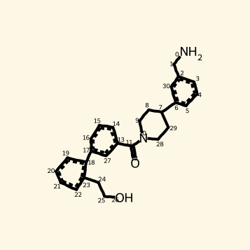 NCc1cccc(C2CCN(C(=O)c3cccc(-c4ccccc4CCO)c3)CC2)c1